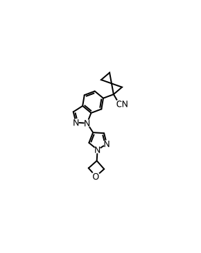 N#CC1(c2ccc3cnn(-c4cnn(C5COC5)c4)c3c2)CC12CC2